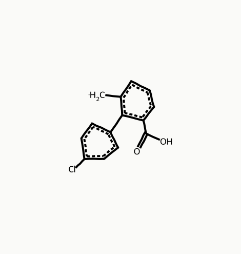 [CH2]c1cccc(C(=O)O)c1-c1ccc(Cl)cc1